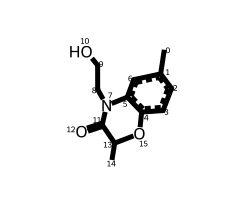 Cc1ccc2c(c1)N(CCO)C(=O)C(C)O2